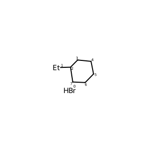 Br.CCC1CCCCC1